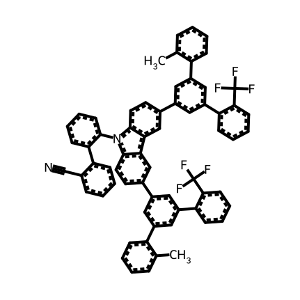 Cc1ccccc1-c1cc(-c2ccc3c(c2)c2cc(-c4cc(-c5ccccc5C)cc(-c5ccccc5C(F)(F)F)c4)ccc2n3-c2ccccc2-c2ccccc2C#N)cc(-c2ccccc2C(F)(F)F)c1